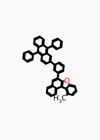 Cc1cccc2oc3c(-c4cccc(-c5ccc6c(-c7ccccc7)c7ccccc7c(-c7ccccc7)c6c5)c4)cc4ccccc4c3c12